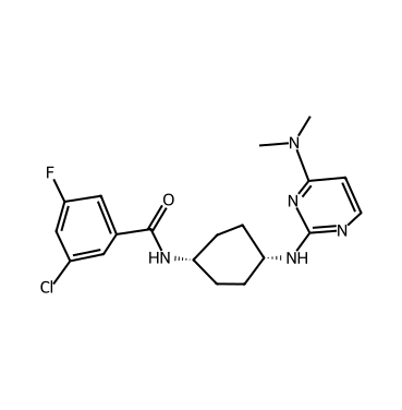 CN(C)c1ccnc(N[C@H]2CC[C@@H](NC(=O)c3cc(F)cc(Cl)c3)CC2)n1